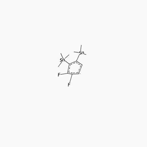 [CH3][Sn]([CH3])([CH3])[c]1c[c]c(F)c(F)[c]1[Sn]([CH3])([CH3])[CH3]